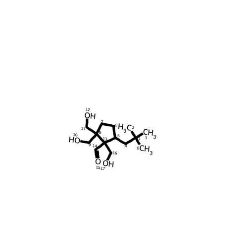 CC(C)(C)CC1CCC(CO)(CO)C1(C=O)CO